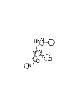 c1ccc(-c2cc(Cc3nc(N4CCOCC4)c4oc(CN5CCCC5)cc4n3)[nH]n2)cc1